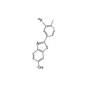 Cc1ccc(-c2nc3ccc(O)cc3s2)cc1[18F]